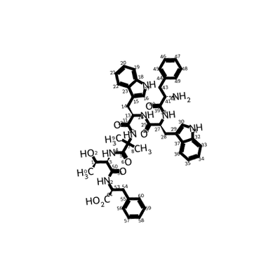 C[C@@H](O)[C@H](NC(=O)C(C)(C)NC(=O)[C@@H](Cc1c[nH]c2ccccc12)NC(=O)[C@H](Cc1c[nH]c2ccccc12)NC(=O)[C@@H](N)Cc1ccccc1)C(=O)N[C@@H](Cc1ccccc1)C(=O)O